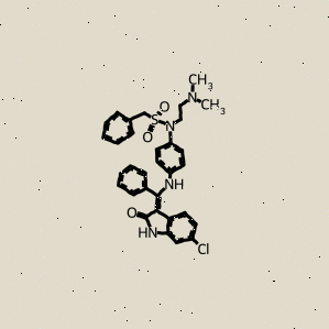 CN(C)CCN(c1ccc(NC(=C2C(=O)Nc3cc(Cl)ccc32)c2ccccc2)cc1)S(=O)(=O)Cc1ccccc1